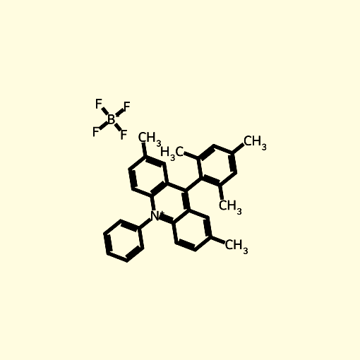 Cc1cc(C)c(-c2c3cc(C)ccc3[n+](-c3ccccc3)c3ccc(C)cc23)c(C)c1.F[B-](F)(F)F